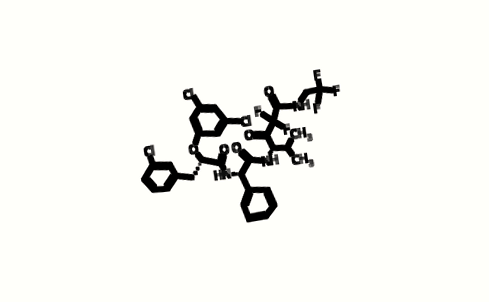 CC(C)[C@H](NC(=O)[C@@H](NC(=O)[C@H](Cc1cccc(Cl)c1)Oc1cc(Cl)cc(Cl)c1)c1ccccc1)C(=O)C(F)(F)C(=O)NCC(F)(F)F